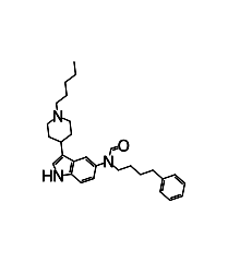 CCCCCN1CCC(c2c[nH]c3ccc(N(C=O)CCCCc4ccccc4)cc23)CC1